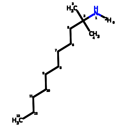 [2H]NC(C)(C)CCCCCCCCC